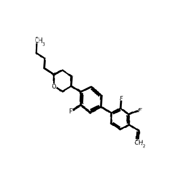 C=Cc1ccc(-c2ccc(C3CCC(CCCC)OC3)c(F)c2)c(F)c1F